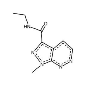 CCNC(=O)c1nn(C)c2nnccc12